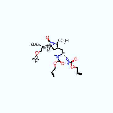 C=CCOC(=O)NC[C@@H](CC1=C(C(=O)O)N2C(=O)[C@@H]([C@@H](CO[SiH](C)C)C(C)(C)C)[C@H]2C1)N(C)C(=O)OCC=C